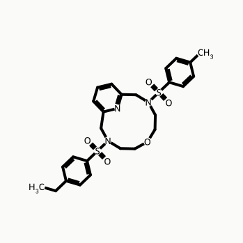 CCc1ccc(S(=O)(=O)N2CCOCCN(S(=O)(=O)c3ccc(C)cc3)Cc3cccc(n3)C2)cc1